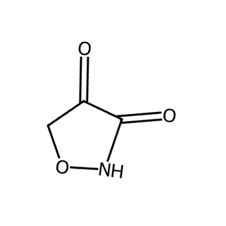 O=C1CONC1=O